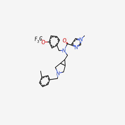 Cc1cccc(CN2CC3C(C2)C3CN(Cc2cccc(OC(F)(F)F)c2)C(=O)c2cn(C)cn2)c1